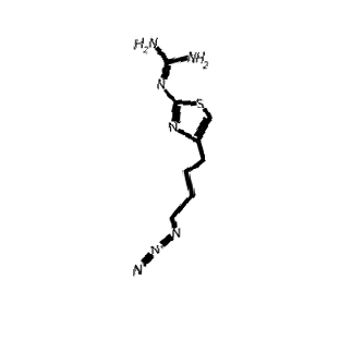 [N-]=[N+]=NCCCCc1csc(N=C(N)N)n1